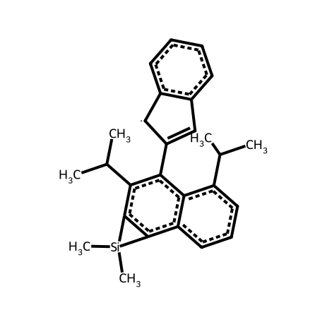 CC(C)c1c2c(c3cccc(C(C)C)c3c1C1=Cc3ccccc3[CH]1)[Si]2(C)C